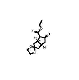 CCOC(=O)C1C(=O)C[C@H]2CC3(C[C@@H]12)OCCO3